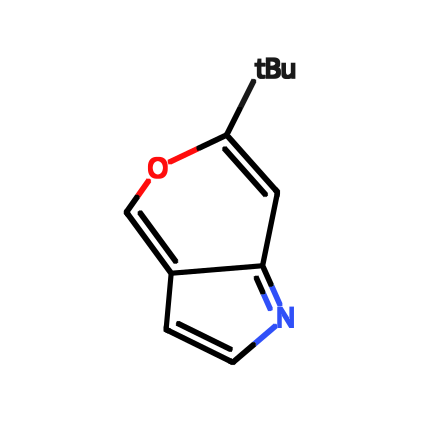 CC(C)(C)c1cc2nccc-2co1